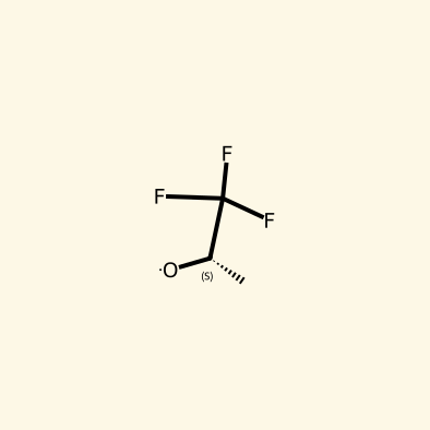 C[C@H]([O])C(F)(F)F